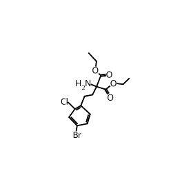 CCOC(=O)C(N)(CCc1ccc(Br)cc1Cl)C(=O)OCC